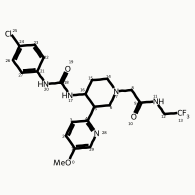 COc1ccc(C2CN(CC(=O)NCC(F)(F)F)CCC2NC(=O)Nc2ccc(Cl)cc2)nc1